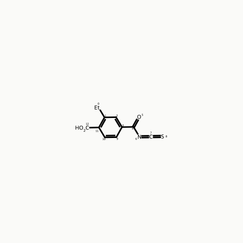 CCc1cc(C(=O)N=C=S)ccc1C(=O)O